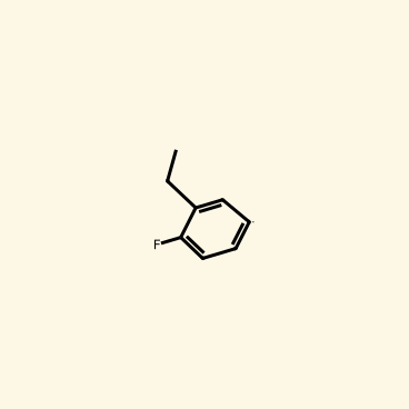 CCc1c[c]ccc1F